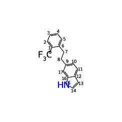 FC(F)(F)c1ccccc1CCc1ccc2cc[nH]c2c1